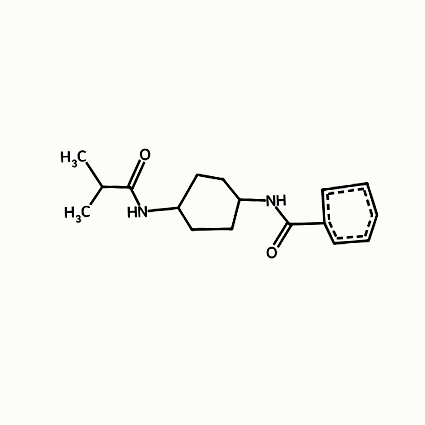 CC(C)C(=O)NC1CCC(NC(=O)c2ccccc2)CC1